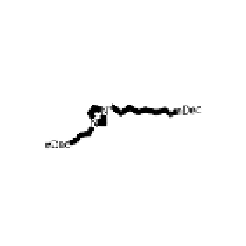 CCCCCCCCCCCCCCCCCC[n+]1ccn(CCCCCCCCCCCCC)c1